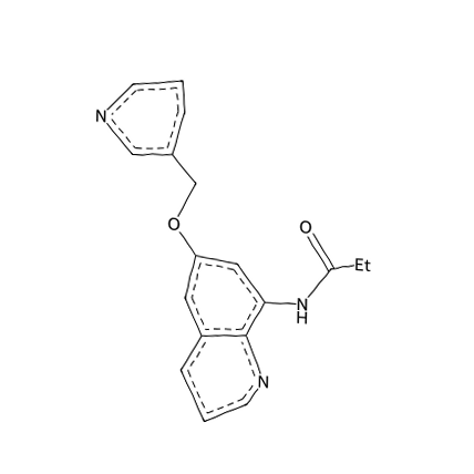 CCC(=O)Nc1cc(OCc2cccnc2)cc2cccnc12